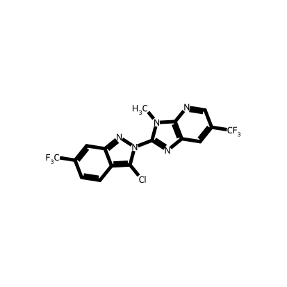 Cn1c(-n2nc3cc(C(F)(F)F)ccc3c2Cl)nc2cc(C(F)(F)F)cnc21